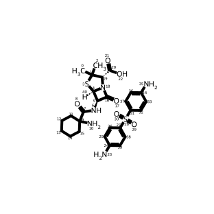 CC1(C)S[C@@H]2[C@H](NC(=O)C3(N)CCCCC3)C(=O)N2[C@H]1C(=O)O.Nc1ccc(S(=O)(=O)c2ccc(N)cc2)cc1